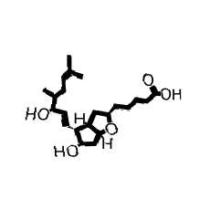 CC(C)=CCC(C)[C@H](O)C=C[C@@H]1[C@H]2C[C@@H](CCCCC(=O)O)O[C@H]2C[C@H]1O